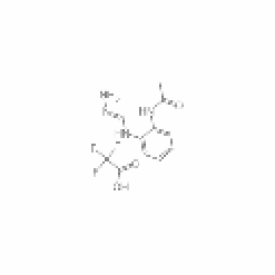 CC(=O)Nc1ccccc1NC=NN.O=C(O)C(F)(F)F